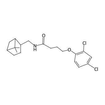 CC1(C)C2CCC(CNC(=O)CCCOc3ccc(Cl)cc3Cl)C1C2